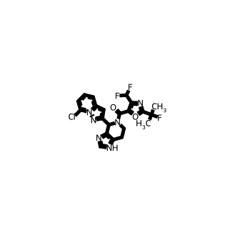 CC(C)(F)c1nc(C(F)F)c(C(=O)N2CCc3[nH]cnc3C2c2cc3cccc(Cl)n3n2)o1